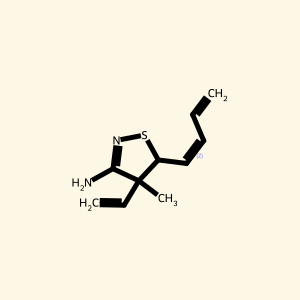 C=C/C=C\C1SN=C(N)C1(C)C=C